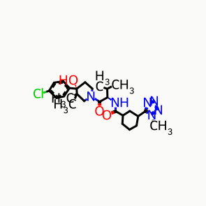 CC(C)[C@@H](NC(=O)C1CCCC(c2nnnn2C)C1)C(=O)N1CC[C@](O)(c2ccc(Cl)cc2)C(C)(C)C1